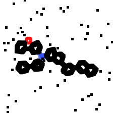 c1ccc(-c2cccc(N(c3ccc4ccc(-c5cccc(-c6ccc7ccccc7c6)c5)cc4c3)c3ccc4oc5ccccc5c4c3)c2)cc1